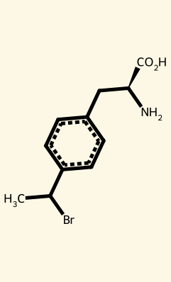 CC(Br)c1ccc(C[C@H](N)C(=O)O)cc1